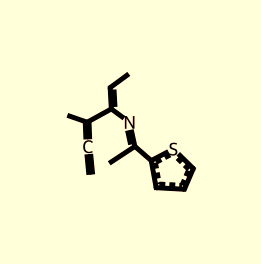 C=C=C(C)C(=C/C)/N=C(\C)c1cccs1